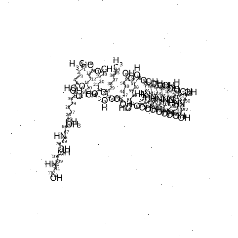 CCCC=CC(=O)O.CCCCC=CC(=O)O.CCCCCC(=O)O.CCCCCCC(=O)O.CCCCCCCC(=O)O.O=C(O)CCCCC(=O)O.O=C(O)CCCCCC(=O)O.OCCNCCO.OCCNCCO.OCCNCCO.OCCNCCO.OCCNCCO.OCCNCCO.OCCNCCO.OCCNCCO.OCCNCCO.OCCNCCO